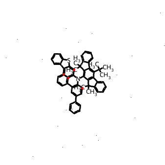 CC(C)(C)c1c2c(c(N(c3ccc4c(c3)sc3ccccc34)c3ccc(-c4ccccc4)cc3-c3ccccc3)c3c1-c1ccccc1C3(C)C)C(C)(C)c1ccccc1-2